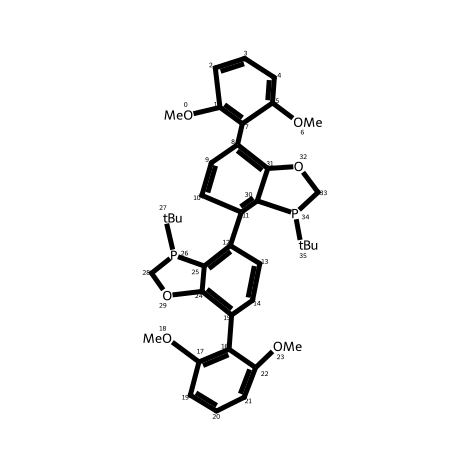 COc1cccc(OC)c1-c1ccc(-c2ccc(-c3c(OC)cccc3OC)c3c2P(C(C)(C)C)CO3)c2c1OCP2C(C)(C)C